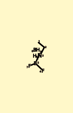 B.CCN.FB(F)F